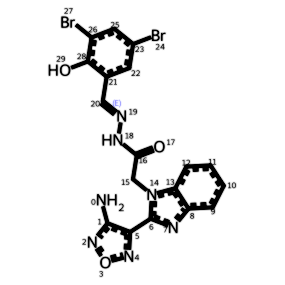 Nc1nonc1-c1nc2ccccc2n1CC(=O)N/N=C/c1cc(Br)cc(Br)c1O